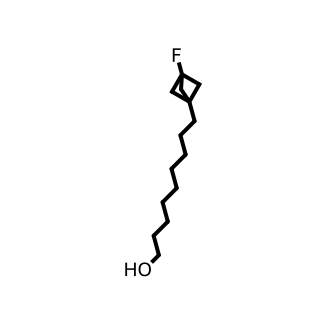 OCCCCCCCCCC12CC(F)(C1)C2